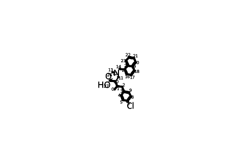 CC(Cc1ccc(Cl)cc1)[C@H](CN(C)Cc1cccc2ccccc12)C(=O)O